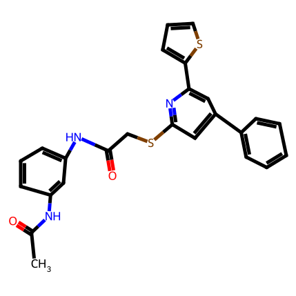 CC(=O)Nc1cccc(NC(=O)CSc2cc(-c3ccccc3)cc(-c3cccs3)n2)c1